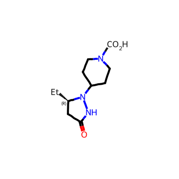 CC[C@@H]1CC(=O)NN1C1CCN(C(=O)O)CC1